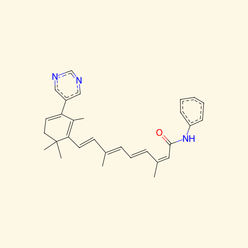 CC1=C(/C=C/C(C)=C/C=C/C(C)=C\C(=O)Nc2ccccc2)C(C)(C)CC=C1c1cncnc1